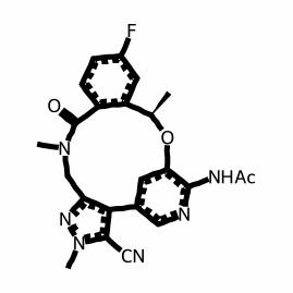 CC(=O)Nc1ncc2cc1O[C@H](C)c1cc(F)ccc1C(=O)N(C)Cc1nn(C)c(C#N)c1-2